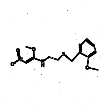 COC(=C[N+](=O)[O-])NCCSCc1ncccc1OC